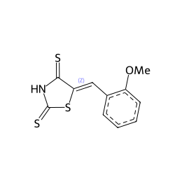 COc1ccccc1/C=C1\SC(=S)NC1=S